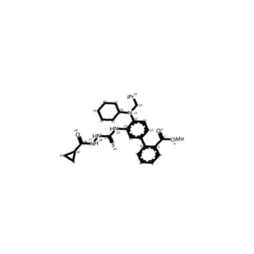 COC(=O)c1ccccc1-c1ccc(N(CC(C)C)C2CCCCC2)c(NC(=S)NNC(=O)C2CC2)c1